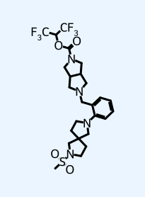 CS(=O)(=O)N1CCC2(CCN(c3ccccc3CN3CC4CN(C(=O)OC(C(F)(F)F)C(F)(F)F)CC4C3)C2)C1